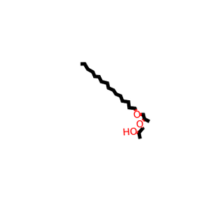 CCCCCCCCCCCCCCCCOCC(C)OCC(C)O